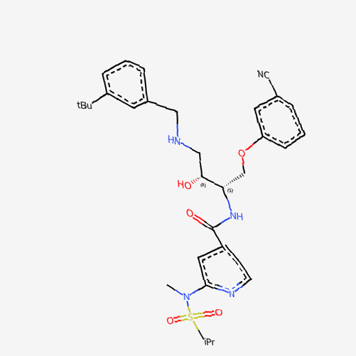 CC(C)S(=O)(=O)N(C)c1cc(C(=O)N[C@@H](COc2cccc(C#N)c2)[C@H](O)CNCc2cccc(C(C)(C)C)c2)ccn1